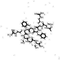 CC(=O)N[C@@H](CS)C(=O)N[C@@H](CCCNC(=N)N)C(=O)N[C@@H](Cc1ccccc1)C(=O)N[C@@H](Cc1ccccc1)C(=O)N[C@@H](CCCNC(=N)N)C(=O)N[C@@H](CO)C(=O)N[C@@H](C)C(=O)N[C@@H](CS)C(N)=O